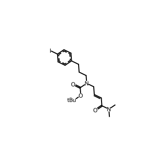 CN(C)C(=O)/C=C/CN(CCCc1ccc(I)cc1)C(=O)OC(C)(C)C